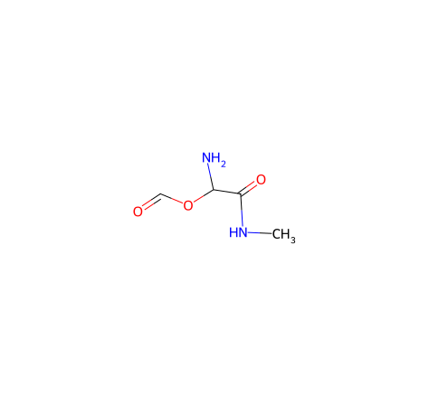 CNC(=O)C(N)OC=O